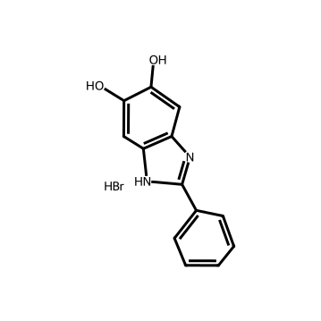 Br.Oc1cc2nc(-c3ccccc3)[nH]c2cc1O